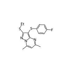 CCSc1nn2c(C)cc(C)nc2c1Sc1ccc(F)cc1